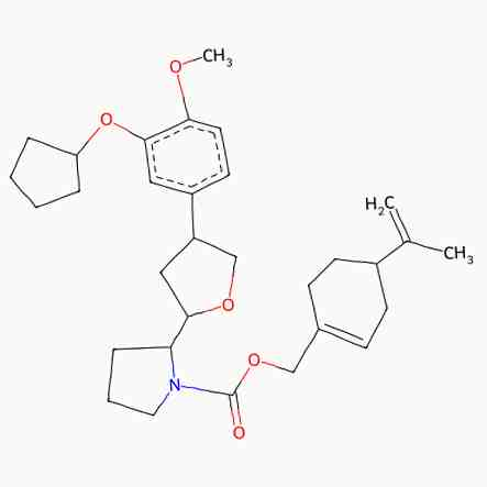 C=C(C)C1CC=C(COC(=O)N2CCCC2C2CC(c3ccc(OC)c(OC4CCCC4)c3)CO2)CC1